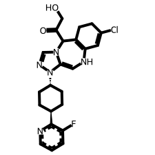 O=C(CO)C1C2=C(C=C(Cl)CC2)NC=C2N1C=NN2[C@H]1CC[C@H](c2ncccc2F)CC1